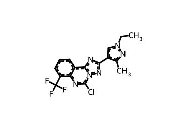 CCn1cc(-c2nc3c4cccc(C(F)(F)F)c4nc(Cl)n3n2)c(C)n1